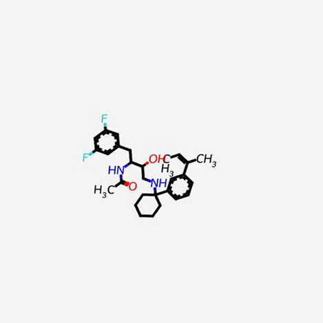 C/C=C(/C)c1cccc(C2(NCC(O)C(Cc3cc(F)cc(F)c3)NC(C)=O)CCCCC2)c1